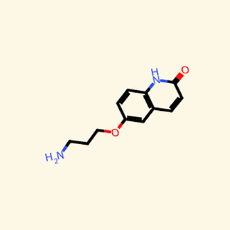 NCCCOc1ccc2[nH]c(=O)ccc2c1